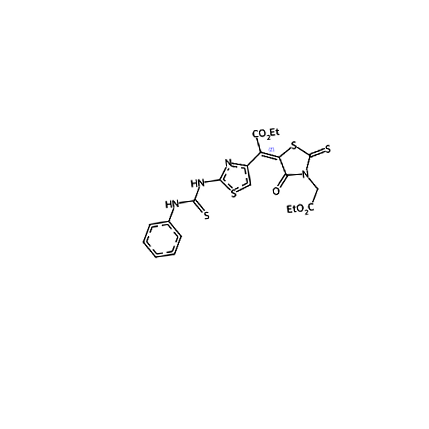 CCOC(=O)CN1C(=O)/C(=C(/C(=O)OCC)c2csc(NC(=S)Nc3ccccc3)n2)SC1=S